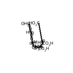 O=[C]COCCOCCNC(=O)COCCOCCNC(=O)CC[C@H](NC(=O)CC[C@H](NC(=O)CC[C@H](NC(=O)CCCCCCCCCCCCCCCCC(=O)O)C(=O)O)C(=O)O)C(=O)O